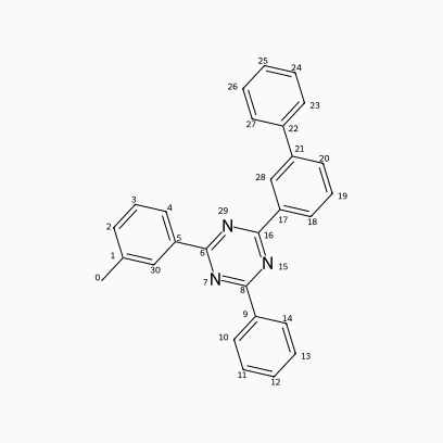 Cc1cccc(-c2nc(-c3ccccc3)nc(-c3cccc(-c4ccccc4)c3)n2)c1